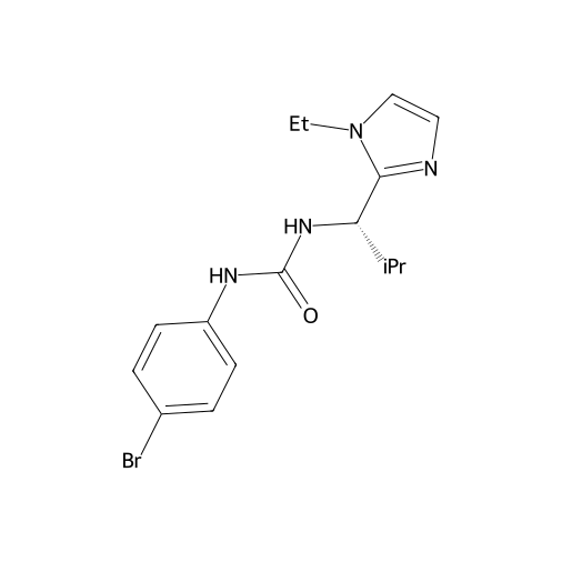 CCn1ccnc1[C@@H](NC(=O)Nc1ccc(Br)cc1)C(C)C